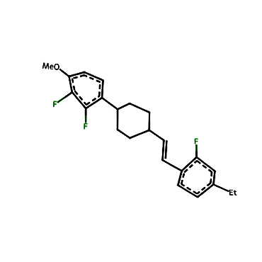 CCc1ccc(/C=C/C2CCC(c3ccc(OC)c(F)c3F)CC2)c(F)c1